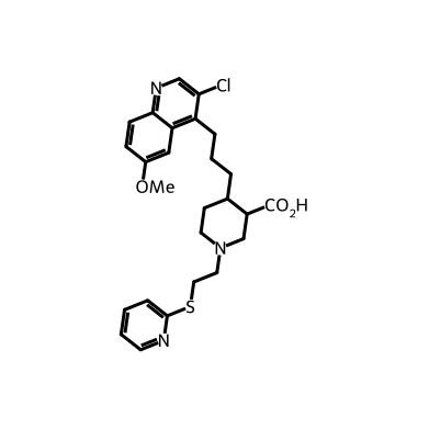 COc1ccc2ncc(Cl)c(CCCC3CCN(CCSc4ccccn4)CC3C(=O)O)c2c1